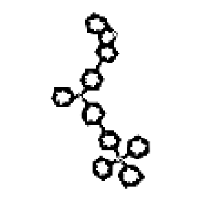 c1ccc(N(c2ccc(-c3ccc([Si](c4ccccc4)(c4ccccc4)c4ccccc4)cc3)cc2)c2ccc(-c3ccc4oc5ccccc5c4c3)cc2)cc1